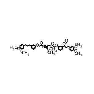 COc1ccc(CCCc2cccc(OCC(=O)NCC(CNC(=O)COc3cccc(C(CCc4ccc(OC)c(OC)c4)OC=O)c3)CN(C)C)c2)cc1OC